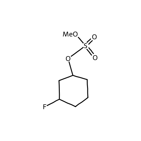 COS(=O)(=O)OC1CCCC(F)C1